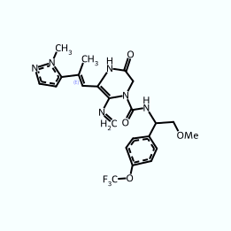 C=NC1=C(/C=C(\C)c2ccnn2C)NC(=O)CN1C(=O)NC(COC)c1ccc(OC(F)(F)F)cc1